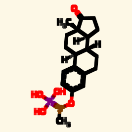 CS(Oc1ccc2c(c1)CC[C@@H]1[C@@H]2CC[C@]2(C)C(=O)CC[C@@H]12)=P(O)(O)O